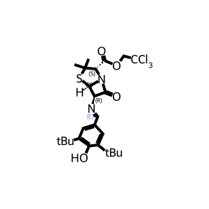 CC(C)(C)c1cc(/C=N/[C@@H]2C(=O)N3[C@@H]2SC(C)(C)[C@@H]3C(=O)OCC(Cl)(Cl)Cl)cc(C(C)(C)C)c1O